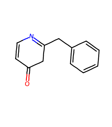 O=C1C=CN=C(Cc2ccccc2)C1